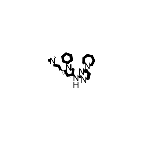 CN(C)CCC[C@H]1C[C@H](Nc2nccc(N3CCCCCC3)n2)CN1C1CCCCC1